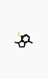 Cc1ccc(F)c2c1CCC2C